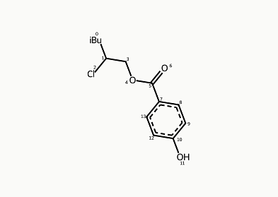 CCC(C)C(Cl)COC(=O)c1ccc(O)cc1